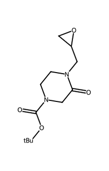 CC(C)(C)OC(=O)N1CCN(CC2CO2)C(=O)C1